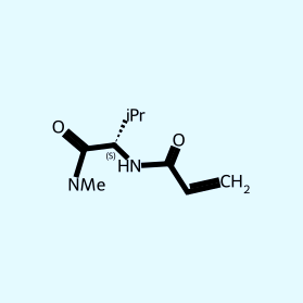 C=CC(=O)N[C@H](C(=O)NC)C(C)C